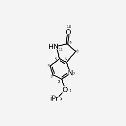 CC(C)Oc1ccc2c(n1)CC(=O)N2